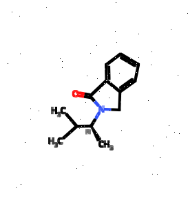 CC(C)[C@H](C)N1Cc2ccccc2C1=O